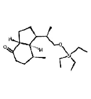 CC[Si](CC)(CC)OC[C@H](C)[C@@H]1CC[C@H]2C(=O)CC[C@H](C)[C@H]12